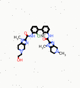 CN1CCc2c(nc(C(=O)Nc3cccc(-c4cccc(NC(=O)c5nc6c(n5C)CCN(CCO)C6)c4Cl)c3C#N)n2C)C1